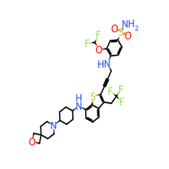 NS(=O)(=O)c1ccc(NCC#Cc2sc3c(NC4CCC(N5CCC6(CC5)COC6)CC4)cccc3c2CC(F)(F)F)c(OC(F)F)c1